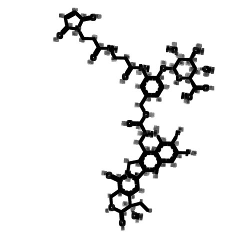 CC[C@@]1(O)C(=O)OCc2c1cc1n(c2=O)Cc2c-1nc1cc(F)c(F)c(F)c1c2CNC(=O)OCc1ccc(O[C@@H]2O[C@H](C(=O)O)[C@@H](O)[C@H](O)[C@H]2O)c(NC(=O)CCNC(=O)CCN2C(=O)C=CC2=O)c1